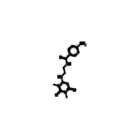 Cn1c(NCCNC(=O)c2ccc([N+](=O)[O-])cc2)cc(=O)n(C)c1=O